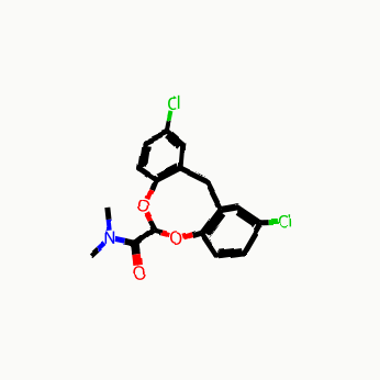 CN(C)C(=O)C1Oc2ccc(Cl)cc2Cc2cc(Cl)ccc2O1